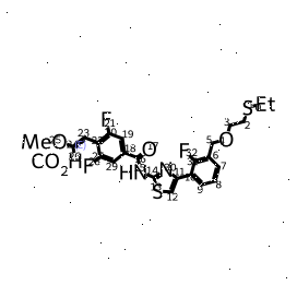 CCSCCOCc1cccc(-c2csc(NC(=O)c3cc(F)c(/C=C(/OC)C(=O)O)c(F)c3)n2)c1F